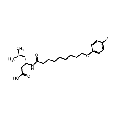 CN(C)C[C@@H](CC(=O)O)NC(=O)CCCCCCCCOc1ccc(F)cc1